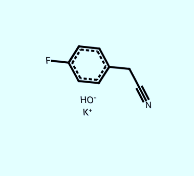 N#CCc1ccc(F)cc1.[K+].[OH-]